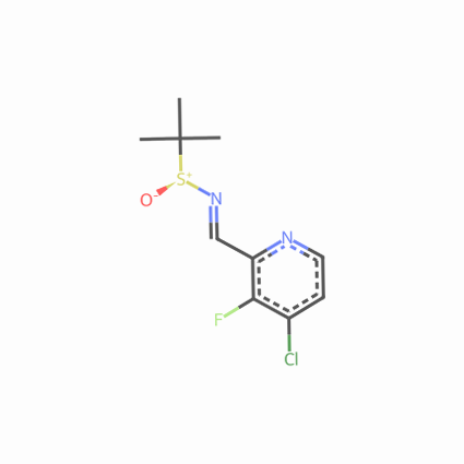 CC(C)(C)[S@+]([O-])N=Cc1nccc(Cl)c1F